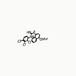 COc1ccc(N(C)C(=N)Nc2ccc(Cl)c(Cl)c2Cl)c2ccccc12